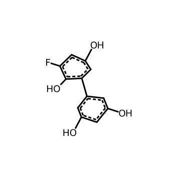 Oc1cc(O)cc(-c2cc(O)cc(F)c2O)c1